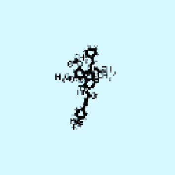 COc1cc(OC(C)=O)c2c3c1O[C@H]1[C@@H](NC(=O)C#Cc4ccc(C(F)(F)F)cc4)CC[C@H]4[C@@H](C2)[N+](CCc2ccccc2)(CC(C)C)CC[C@@]341